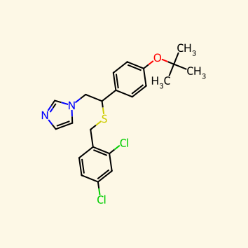 CC(C)(C)Oc1ccc(C(Cn2ccnc2)SCc2ccc(Cl)cc2Cl)cc1